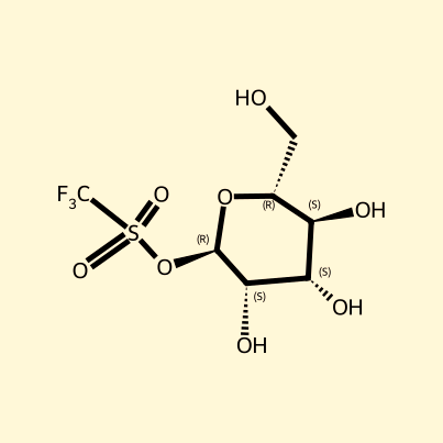 O=S(=O)(O[C@H]1O[C@H](CO)[C@@H](O)[C@H](O)[C@@H]1O)C(F)(F)F